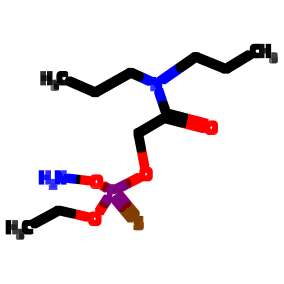 CCCN(CCC)C(=O)COP(=S)(ON)OCC